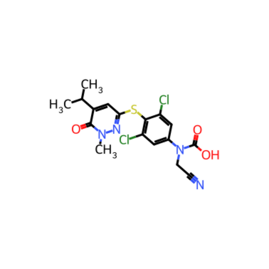 CC(C)c1cc(Sc2c(Cl)cc(N(CC#N)C(=O)O)cc2Cl)nn(C)c1=O